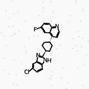 Fc1ccc2nccc([C@H]3CC[C@H](c4nc5cc(Cl)ccc5[nH]4)CC3)c2c1